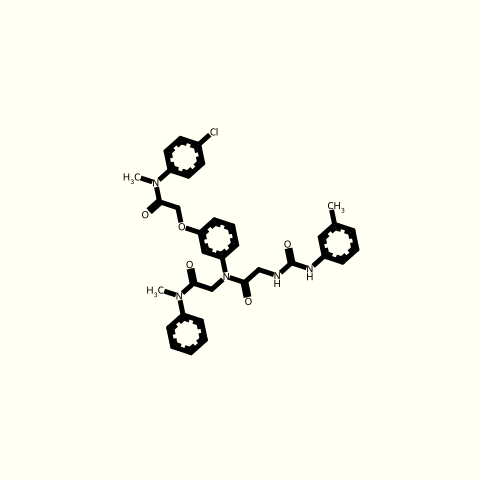 Cc1cccc(NC(=O)NCC(=O)N(CC(=O)N(C)c2ccccc2)c2cccc(OCC(=O)N(C)c3ccc(Cl)cc3)c2)c1